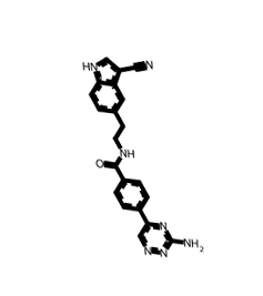 N#Cc1c[nH]c2ccc(CCNC(=O)c3ccc(-c4cnnc(N)n4)cc3)cc12